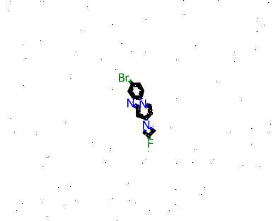 FC1CN(c2ccn3c(c2)nc2cc(Br)ccc23)C1